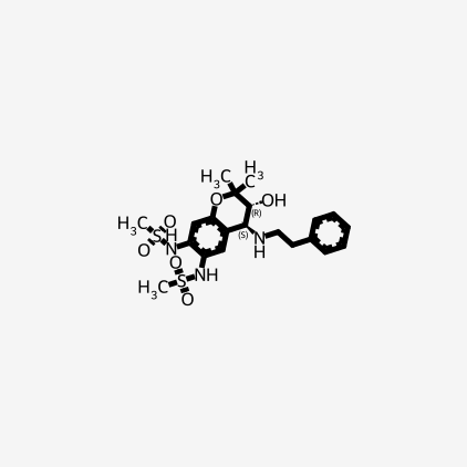 CC1(C)Oc2cc(NS(C)(=O)=O)c(NS(C)(=O)=O)cc2[C@H](NCCc2ccccc2)[C@H]1O